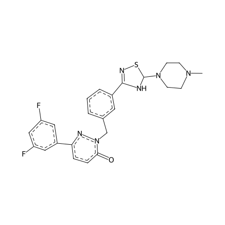 CN1CCN(C2NC(c3cccc(Cn4nc(-c5cc(F)cc(F)c5)ccc4=O)c3)=NS2)CC1